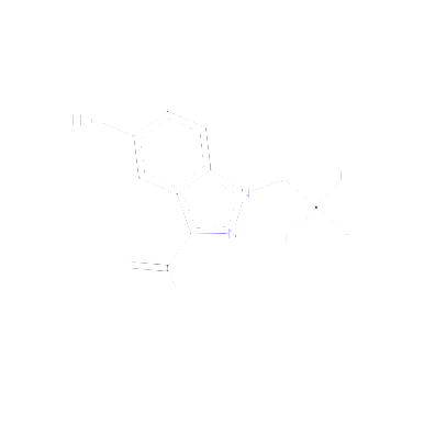 Cc1ccc2c(c1)c(C(=O)O)nn2CC(F)(F)F